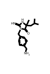 CC(C)CC1(C)NC(=N)N(Cc2ccc(CN)cc2)C1=O